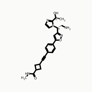 CNC(=O)C1CC(C#Cc2ccc(-c3cc([C@@H](CN)n4ccnc4[C@H](C)O)no3)cc2)C1